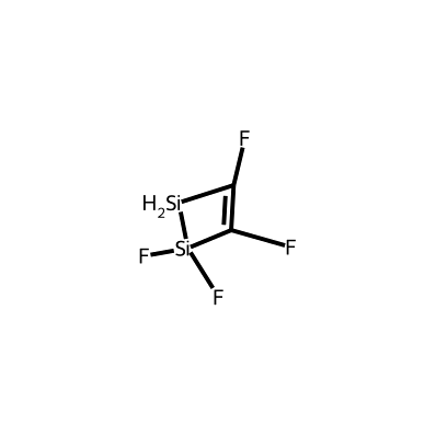 FC1=C(F)[Si](F)(F)[SiH2]1